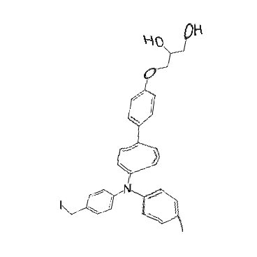 Cc1ccc(N(c2ccc(CI)cc2)c2ccc(-c3ccc(OCC(O)CO)cc3)cc2)cc1